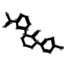 O=C1N(c2ccc(O)cc2)CCCN1c1cccc([N+](=O)[O-])c1